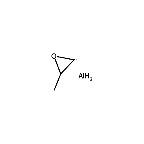 CC1[CH]O1.[AlH3]